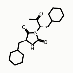 CC(=O)[C@H](CC1CCCCC1)N1C(=O)N[C@@H](CC2CCCCC2)C1=O